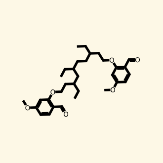 CCC(CCOc1cc(OC)ccc1C=O)CCC(CC)CC(CC)CCOc1cc(OC)ccc1C=O